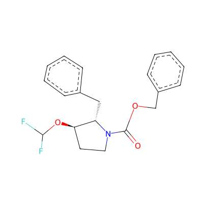 O=C(OCc1ccccc1)N1CC[C@@H](OC(F)F)[C@@H]1Cc1ccccc1